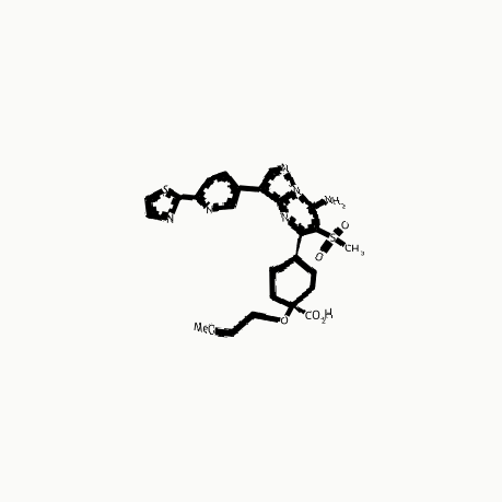 COCCO[C@]1(C(=O)O)CC[C@@H](c2nc3c(-c4ccc(-c5nccs5)nc4)cnn3c(N)c2S(C)(=O)=O)CC1